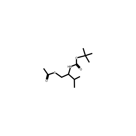 CC(=O)SCC(NC(=O)OC(C)(C)C)C(C)C